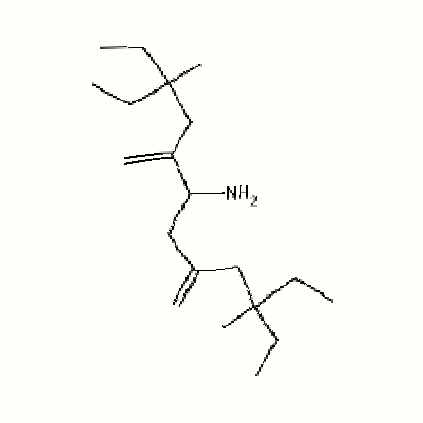 C=C(CC(N)C(=C)CC(C)(CC)CC)CC(C)(CC)CC